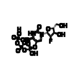 O=c1[nH]c(=O)n([C@@H]2O[C@H](CO)[C@@H](O)[C@H]2F)cc1OP(=O)(O)OP(=O)(O)OP(=O)(O)O